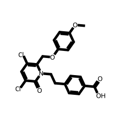 COc1ccc(OCc2c(Cl)cc(Cl)c(=O)n2CCc2ccc(C(=O)O)cc2)cc1